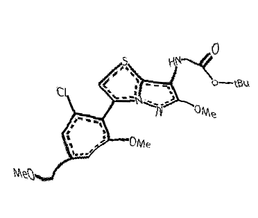 COCc1cc(Cl)c(-c2csc3c(NC(=O)OC(C)(C)C)c(OC)nn23)c(OC)c1